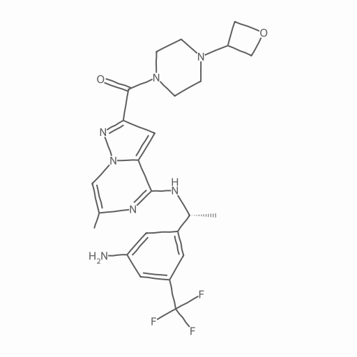 Cc1cn2nc(C(=O)N3CCN(C4COC4)CC3)cc2c(N[C@H](C)c2cc(N)cc(C(F)(F)F)c2)n1